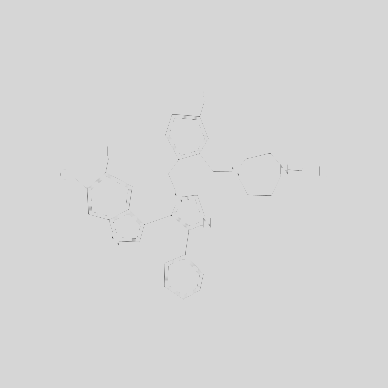 CN1CCN(Cc2cc(Cl)ccc2Cn2cnc(-c3ccccc3)c2-c2c[nH]c3cc(Cl)c(F)cc23)CC1